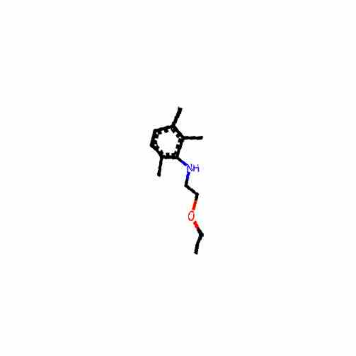 CCOCCNc1c(C)ccc(C)c1C